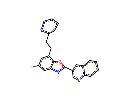 Clc1cc(CCc2ccccn2)c2oc(-c3cnc4ccccc4c3)nc2c1